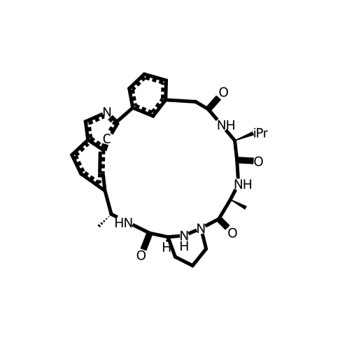 CC(C)[C@@H]1NC(=O)Cc2cccc(c2)-c2cc3cc(ccc3cn2)[C@@H](C)NC(=O)[C@@H]2CCCN(N2)C(=O)[C@H](C)NC1=O